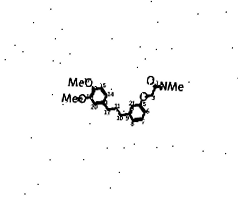 CNC(=O)COc1cccc(CCCc2ccc(OC)c(OC)c2)c1